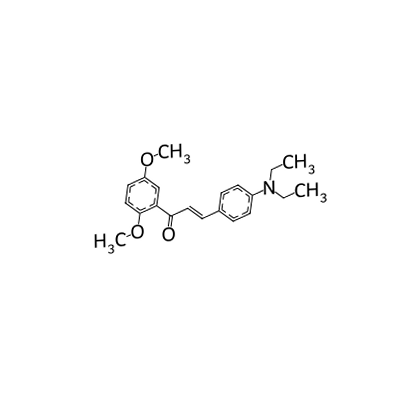 CCN(CC)c1ccc(C=CC(=O)c2cc(OC)ccc2OC)cc1